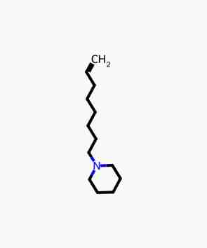 C=CCCCCCCN1CCCCC1